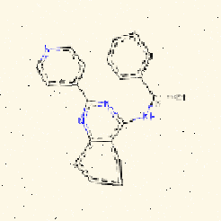 CC[C@H](Nc1nc(-c2ccncc2)nc2ccccc12)c1ccccc1